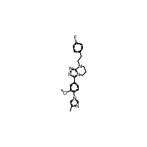 COc1cc(-c2nnc3n2CCCN3CCc2ccc(F)cc2)ccc1-n1cnc(C)c1